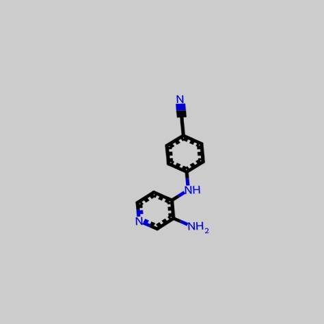 N#Cc1ccc(Nc2ccncc2N)cc1